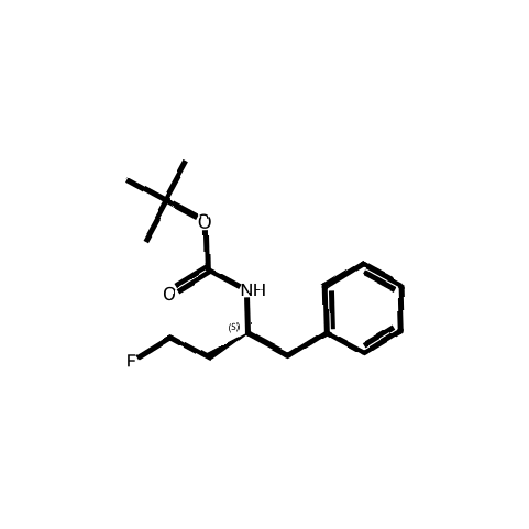 CC(C)(C)OC(=O)N[C@H](CCF)Cc1ccccc1